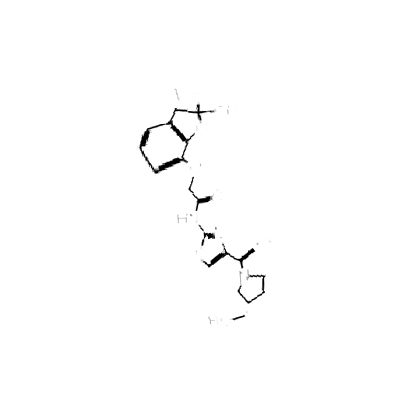 CC1(C)Cc2cccc(OCC(=O)Nc3nc(C(=O)N4CC[C@H](CO)C4)cs3)c2O1